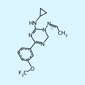 C/C=N\N1CN=C(c2cccc(OC(F)(F)F)c2)N=C1NC1CC1